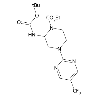 CCOC(=O)N1CCN(c2ncc(C(F)(F)F)cn2)CC1NC(=O)OC(C)(C)C